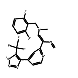 C=N/C(=C\N(C)Cc1c(F)cccc1F)c1cc(-c2nn[nH]c2C(F)(F)F)ccn1